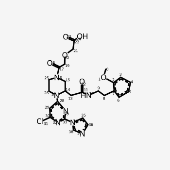 COc1ccccc1CCNC(=O)CC1CN(C(=O)COCC(=O)O)CCN1c1cc(Cl)nc(-n2ccnc2)n1